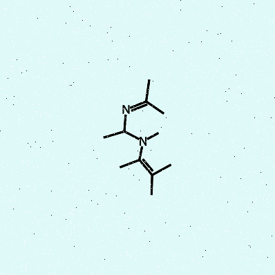 CC(C)=NC(C)N(C)C(C)=C(C)C